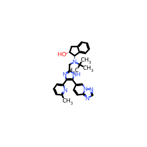 Cc1cccc(-c2nc(CN([C@H]3c4ccccc4C[C@H]3O)C(C)(C)C)[nH]c2-c2ccc3ncnn3c2)n1